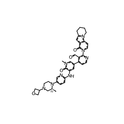 C[C@H]1CN(C2COC2)CCN1c1ccc(Nc2cc(-c3ccnc(-n4ccc5c(cc6n5CCCC6)c4=O)c3C=O)cn(C)c2=O)nc1